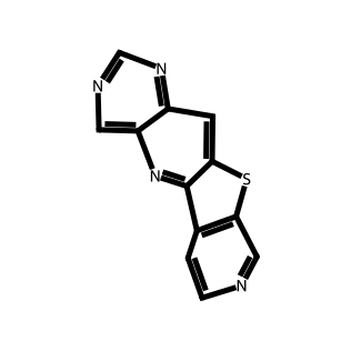 c1cc2c(cn1)sc1cc3ncncc3nc12